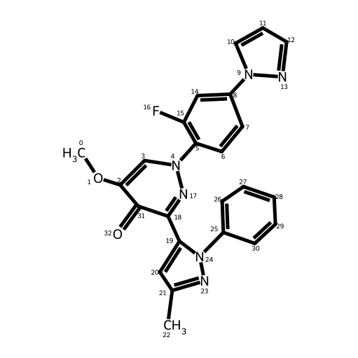 COc1cn(-c2ccc(-n3cccn3)cc2F)nc(-c2cc(C)nn2-c2ccccc2)c1=O